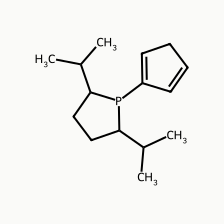 CC(C)C1CCC(C(C)C)P1C1=CCC=C1